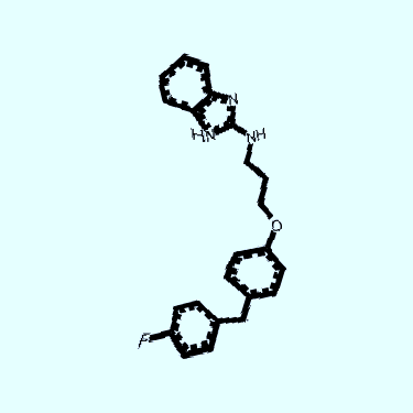 Fc1ccc([CH]c2ccc(OCCCNc3nc4ccccc4[nH]3)cc2)cc1